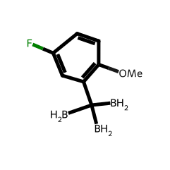 BC(B)(B)c1cc(F)ccc1OC